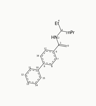 C=C(NC(CC)CCC)c1ccc(-c2ccccc2)cc1